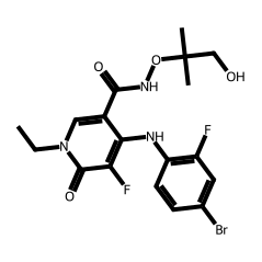 CCn1cc(C(=O)NOC(C)(C)CO)c(Nc2ccc(Br)cc2F)c(F)c1=O